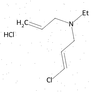 C=CCN(CC)CC=CCl.Cl